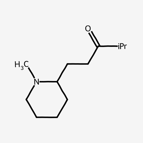 CC(C)C(=O)CCC1CCCCN1C